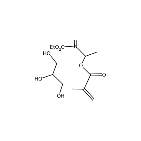 C=C(C)C(=O)OC(C)NC(=O)OCC.OCC(O)CO